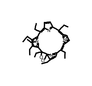 CCC1=CC2=NC1(Cl)C(Cl)(CC)c1c(CC)c(CC)c(n1CC)C(CC)=C1C=CC(=N1)C(CC)=c1ccc([nH]1)=C2CC